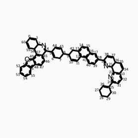 C1=CC2N=C(C3=CCC(C4C=Cc5c(ccc6cc(C7=NC8c9nc(C%10=CCCCC%10)ccc9C=CC8C=C7)ccc56)C4)C=C3)c3ccc4c(oc5ccccc54)c3C2C=C1